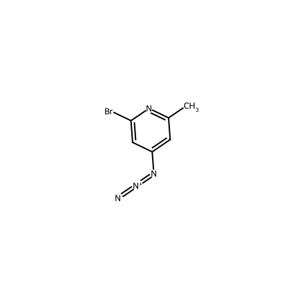 Cc1cc(N=[N+]=[N-])cc(Br)n1